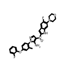 Cc1cc(Oc2ccccc2F)ccc1-n1ncc([S+]([O-])c2cc3cc(F)c(N4CCOCC4)cc3[nH]2)c1N